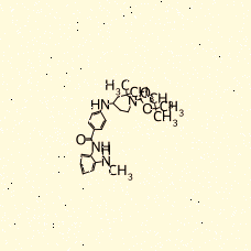 CNc1ccccc1NC(=O)c1ccc(NC2CCN(C(=O)OC(C)(C)C)C(C)(C)C2)cc1